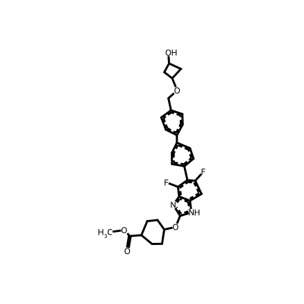 COC(=O)C1CCC(Oc2nc3c(F)c(-c4ccc(-c5ccc(COC6CC(O)C6)cc5)cc4)c(F)cc3[nH]2)CC1